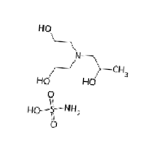 CC(O)CN(CCO)CCO.NS(=O)(=O)O